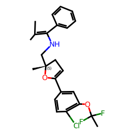 CC(C)=C(NC[C@]1(C)CC=C(c2ccc(Cl)c(OC(C)(F)F)c2)O1)c1ccccc1